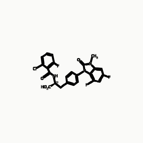 Cn1c(=O)n(-c2ccc(C[C@H](NC(=O)c3c(F)cccc3Cl)C(=O)O)cc2)c2c(F)cc(F)cc21